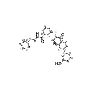 Nc1cc(-c2ccc3c(=O)n(Cc4cccc(C(=O)NCCc5ccccn5)c4)cnc3c2)ccn1